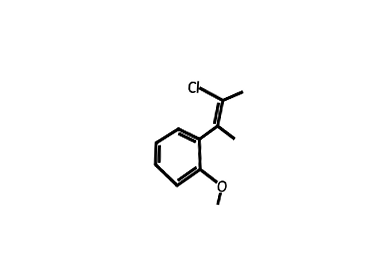 COc1ccccc1C(C)=C(C)Cl